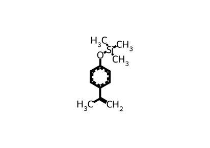 C=C(C)c1ccc(O[Si](C)(C)C)cc1